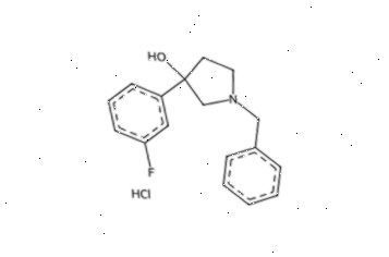 Cl.OC1(c2cccc(F)c2)CCN(Cc2ccccc2)C1